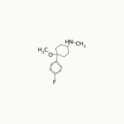 CNC1CCC(OC)(c2ccc(F)cc2)CC1